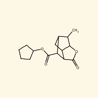 CC1C2CC3C1OC(=O)C3C2C(=O)OC1CCCC1